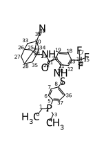 CCP(CC)c1ccc(SNc2cc(C(F)(F)F)ccc2C(=O)NC23CC4CC(CC(C#N)(C4)C2)C3)cc1